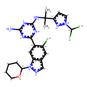 CC(C)(Nc1nc(N)nc(-c2cc3c(cnn3C3CCCCO3)cc2F)n1)c1ccn(C(F)F)n1